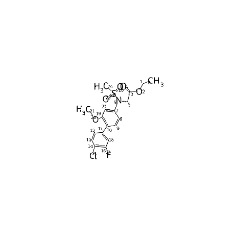 CCOC(=O)CN(c1ccc(-c2ccc(Cl)c(F)c2)c(OC)c1)S(C)(=O)=O